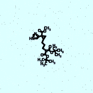 COC(=O)C1(c2c[nH]cn2)CC1CCCN(C(=O)OC(C)(C)C)C(=O)OC(C)(C)C